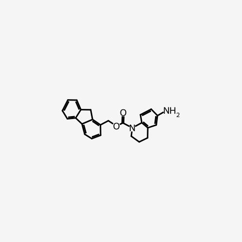 Nc1ccc2c(c1)CCCN2C(=O)OCc1cccc2c1Cc1ccccc1-2